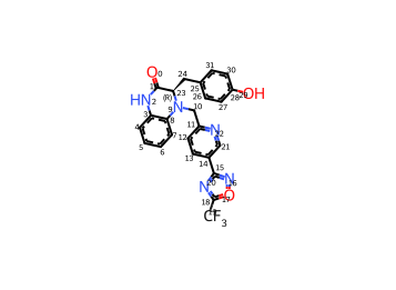 O=C1Nc2ccccc2N(Cc2ccc(-c3noc(C(F)(F)F)n3)cn2)[C@@H]1Cc1ccc(O)cc1